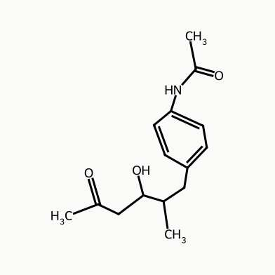 CC(=O)CC(O)C(C)Cc1ccc(NC(C)=O)cc1